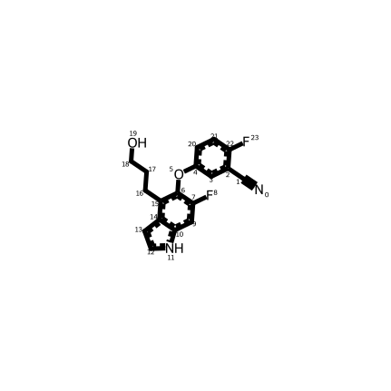 N#Cc1cc(Oc2c(F)cc3[nH]ccc3c2CCCO)ccc1F